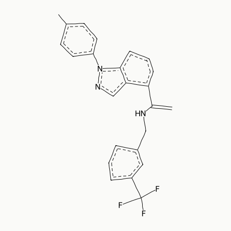 C=C(NCc1cccc(C(F)(F)F)c1)c1cccc2c1cnn2-c1ccc(C)cc1